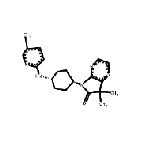 Cc1ccc(N[C@H]2CC[C@H](N3C(=O)C(C)(C)c4nccnc43)CC2)nc1